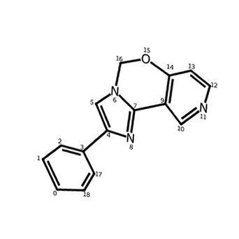 c1ccc(-c2cn3c(n2)-c2cnccc2OC3)cc1